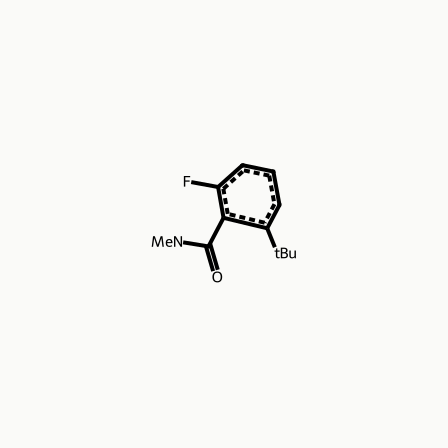 CNC(=O)c1c(F)cccc1C(C)(C)C